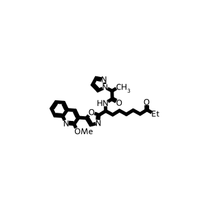 CCC(=O)CCCCCC(NC(=O)C(C)n1cccn1)c1ncc(-c2cc3ccccc3nc2OC)o1